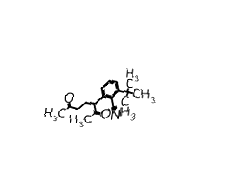 CC(=O)CCC(C(C)=O)c1cccc(C(C)(C)C)c1C#N